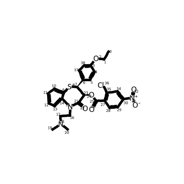 CCOc1ccc([C@@H]2Sc3ccccc3N(CCN(C)C)C(=O)[C@@H]2OC(=O)c2ccc([N+](=O)[O-])cc2Cl)cc1